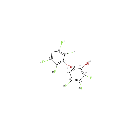 Fc1cc(F)c(F)c(Br)c1F.Fc1ccc(Br)c(F)c1F